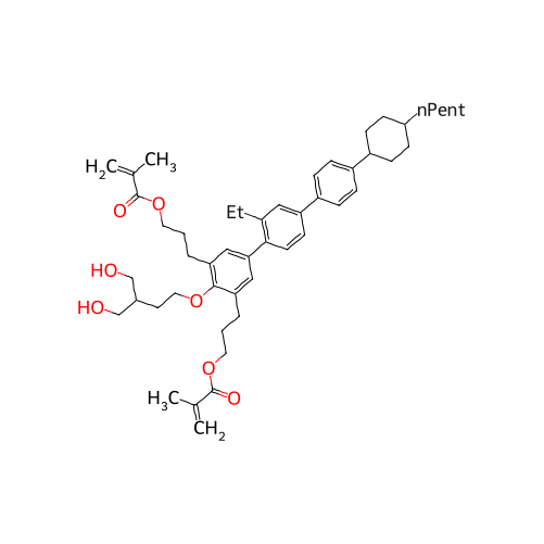 C=C(C)C(=O)OCCCc1cc(-c2ccc(-c3ccc(C4CCC(CCCCC)CC4)cc3)cc2CC)cc(CCCOC(=O)C(=C)C)c1OCCC(CO)CO